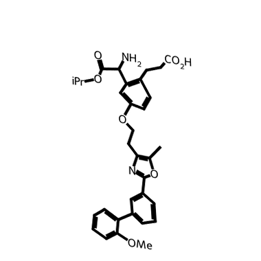 COc1ccccc1-c1cccc(-c2nc(CCOc3ccc(CCC(=O)O)c(C(N)C(=O)OC(C)C)c3)c(C)o2)c1